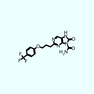 NC(=O)n1c(=O)[nH]c2cnc(CCCOc3ccc(C(F)(F)F)cc3)nc21